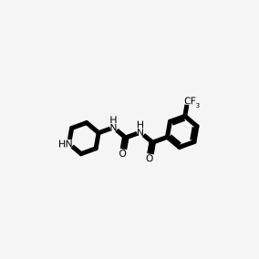 O=C(NC(=O)c1cccc(C(F)(F)F)c1)NC1CCNCC1